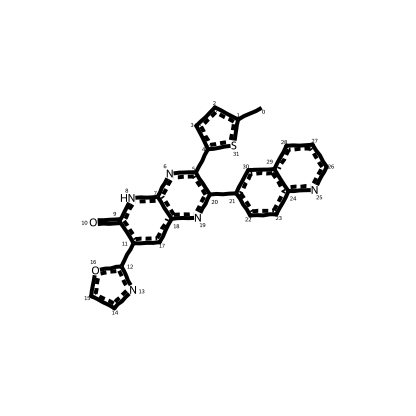 Cc1ccc(-c2nc3[nH]c(=O)c(-c4ncco4)cc3nc2-c2ccc3ncccc3c2)s1